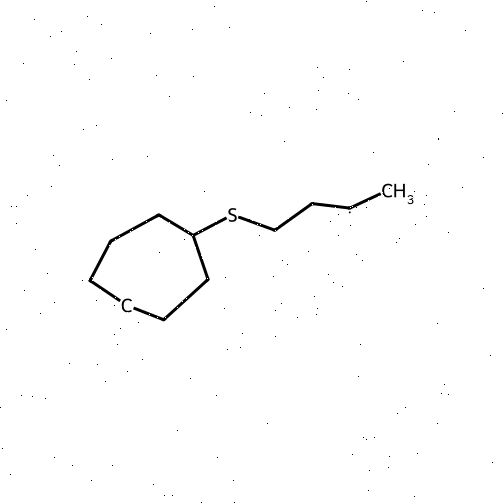 C[CH]CCSC1CCCCCC1